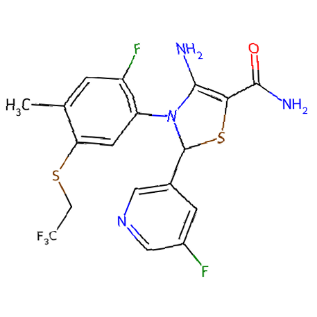 Cc1cc(F)c(N2C(N)=C(C(N)=O)SC2c2cncc(F)c2)cc1SCC(F)(F)F